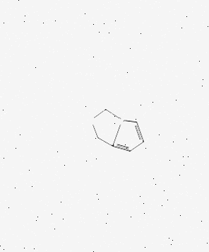 [CH]1SCc2cccn21